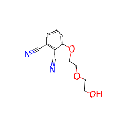 N#Cc1cccc(OCCOCCO)c1C#N